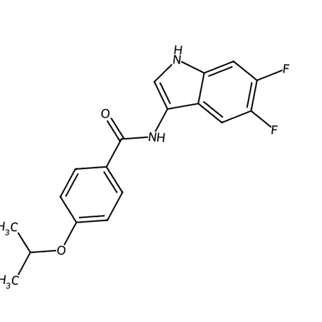 CC(C)Oc1ccc(C(=O)Nc2c[nH]c3cc(F)c(F)cc23)cc1